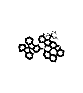 CC(C)(C)c1ccc(N(c2ccc3c(c2)-c2ccccc2C32c3ccccc3-c3ccccc32)c2ccc3ccccc3c2-c2cccc3sc4ccccc4c23)c2ccccc12